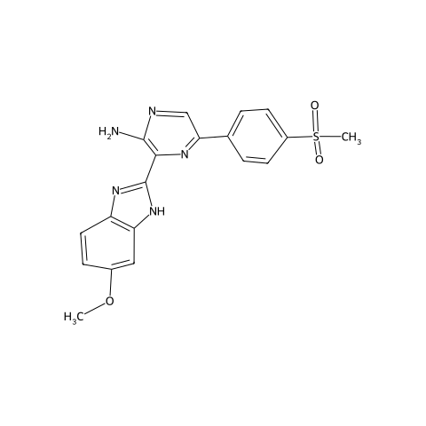 COc1ccc2nc(-c3nc(-c4ccc(S(C)(=O)=O)cc4)cnc3N)[nH]c2c1